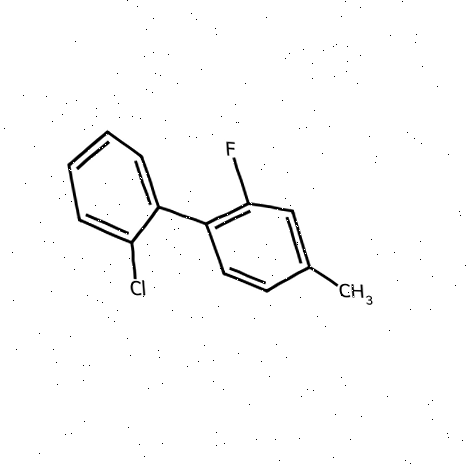 Cc1ccc(-c2ccccc2Cl)c(F)c1